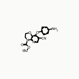 CC(C)(C)OC(=O)N1CCOc2c1ncc(C#N)c2Oc1ccc(N)cc1